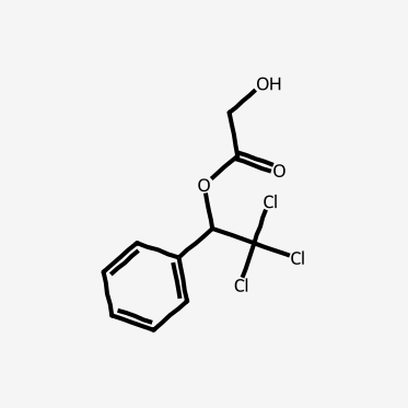 O=C(CO)OC(c1ccccc1)C(Cl)(Cl)Cl